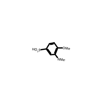 C[N]c1cc(S(=O)(=O)O)ccc1OC